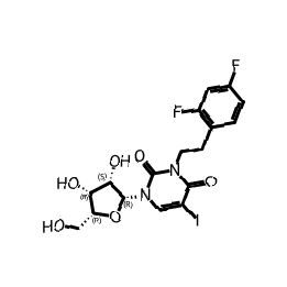 O=c1c(I)cn([C@@H]2O[C@H](CO)[C@H](O)[C@@H]2O)c(=O)n1CCc1ccc(F)cc1F